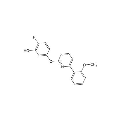 COc1ccccc1-c1cccc(Oc2ccc(F)c(O)c2)n1